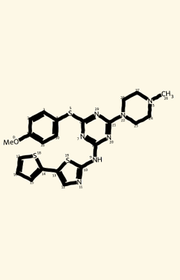 COc1ccc(Sc2nc(Nc3ncc(-c4cccs4)s3)nc(N3CCN(C)CC3)n2)cc1